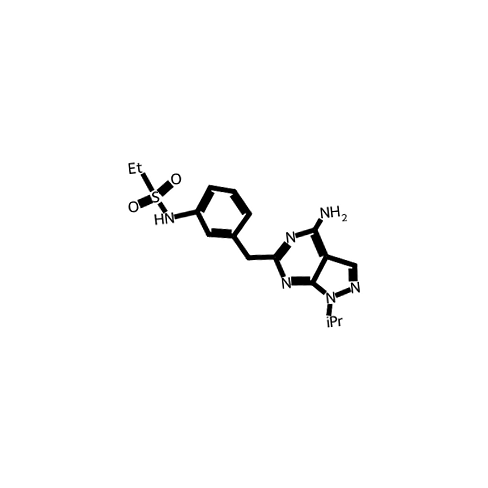 CCS(=O)(=O)Nc1cccc(Cc2nc(N)c3cnn(C(C)C)c3n2)c1